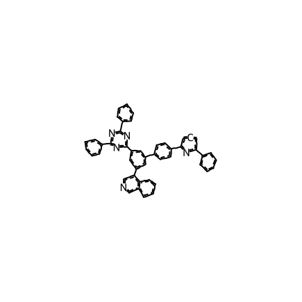 c1ccc(-c2cccc(-c3ccc(-c4cc(-c5nc(-c6ccccc6)nc(-c6ccccc6)n5)cc(-c5cncc6ccccc56)c4)cc3)n2)cc1